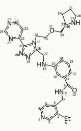 CCc1cnccc1CNC(=O)c1cccc(NCc2nnc(-c3ccncn3)n2CCOC[C@H]2CCCN2)c1